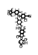 Cc1ccc(-c2c(C)noc2C)cc1N(CC1CCC(CNc2cc3c(cc2F)CN(C2CCC(=O)NC2=O)C3=O)CC1)c1ccc(C#N)c(Cl)c1